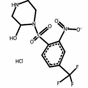 Cl.O=[N+]([O-])c1cc(C(F)(F)F)ccc1S(=O)(=O)N1CCNCC1O